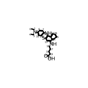 CCN(CC)c1ccc2c(c1)Sc1cc(NCCCCC(=O)O)c3ccccc3c1N2